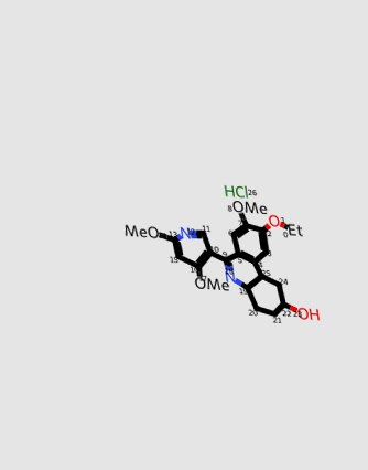 CCOc1cc2c(cc1OC)C(c1cnc(OC)cc1OC)=NC1CCC(O)CC21.Cl